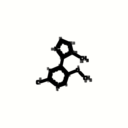 COc1cnc(Cl)nc1-c1ncnn1C